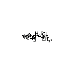 CC1(C)CC(C=Cc2ccc(Oc3cccc(-c4ccncn4)c3C#N)c(Cl)c2)CC(C)(C)N1